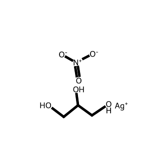 O=[N+]([O-])[O-].OCC(O)CO.[Ag+]